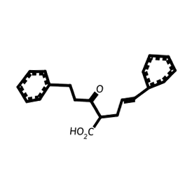 O=C(O)C(CC=Cc1ccccc1)C(=O)CCc1ccccc1